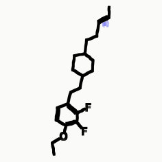 C/C=C/CCC1CCC(CCc2ccc(OCC)c(F)c2F)CC1